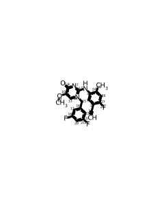 C#Cc1cc(Nc2nc(=O)c(OC)cn2Cc2cc(F)cc(F)c2)c(C)cc1F